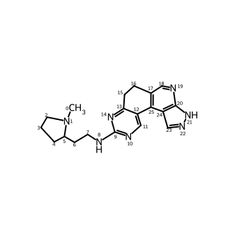 CN1CCCC1CCNc1ncc2c(n1)CCc1cnc3[nH]ncc3c1-2